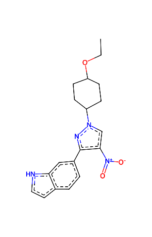 CCOC1CCC(n2cc([N+](=O)[O-])c(-c3ccc4cc[nH]c4c3)n2)CC1